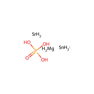 O=P(O)(O)O.[MgH2].[SnH2].[SrH2]